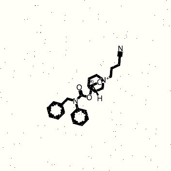 N#CCCC[N+]12CCC(CC1)[C@@H](OC(=O)N(Cc1ccccc1)c1ccccc1)C2